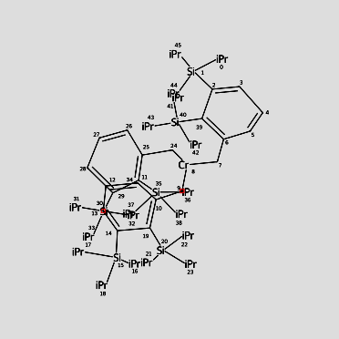 CC(C)[Si](c1cccc([CH2][Cr]([CH2]c2cccc([Si](C(C)C)(C(C)C)C(C)C)c2[Si](C(C)C)(C(C)C)C(C)C)[CH2]c2cccc([Si](C(C)C)(C(C)C)C(C)C)c2[Si](C(C)C)(C(C)C)C(C)C)c1[Si](C(C)C)(C(C)C)C(C)C)(C(C)C)C(C)C